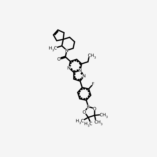 CCc1cc(C(=O)N2CCCC3(CC=CC3)C2C)nc2cc(-c3ccc(B4OC(C)(C)C(C)(C)O4)cc3F)nn12